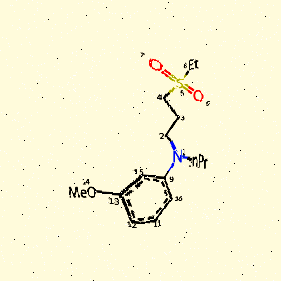 CCCN(CCCS(=O)(=O)CC)c1cccc(OC)c1